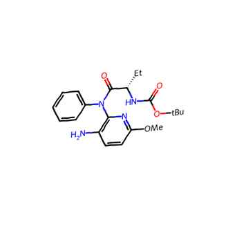 CC[C@H](NC(=O)OC(C)(C)C)C(=O)N(c1ccccc1)c1nc(OC)ccc1N